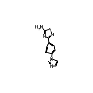 Nc1nc(-c2ccc(-n3ccnn3)cc2)ns1